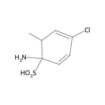 CC1C=C(Cl)C=CC1(N)S(=O)(=O)O